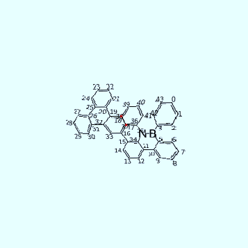 c1ccc(B2c3ccccc3-c3cccc(-c4ccc5c6ccccc6c6ccccc6c5c4)c3N2c2ccccc2)cc1